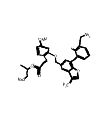 COCC(C)OC(=O)Cc1ccc(OC)cc1OCc1cc(-c2cccc(CN)c2F)c2occ(C(F)(F)F)c2c1